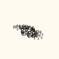 COc1cc(C[C@H]2c3cc(OC)c(OC)cc3CCN2C)c(Oc2cc3c(cc2OC)-c2c(OC)c(OC)c(OC)c4c2[C@H](C3)N(C)CC4)cc1OC